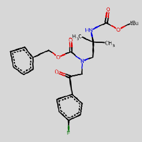 CC(C)(CN(CC(=O)c1ccc(F)cc1)C(=O)OCc1ccccc1)NC(=O)OC(C)(C)C